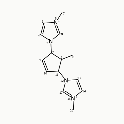 CC1C(n2cc[n+](C)c2)C=CC1n1cc[n+](C)c1